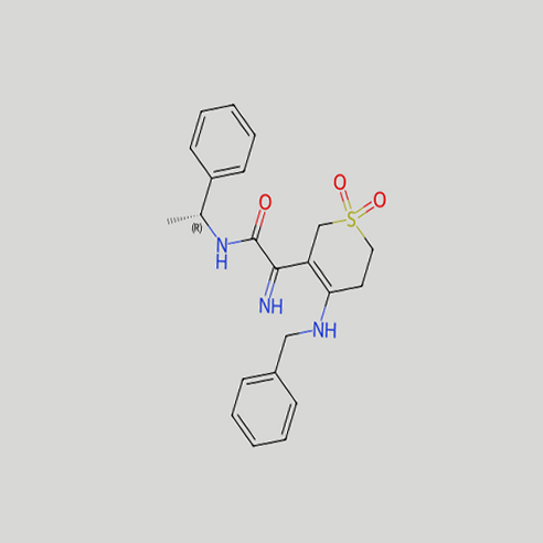 C[C@@H](NC(=O)C(=N)C1=C(NCc2ccccc2)CCS(=O)(=O)C1)c1ccccc1